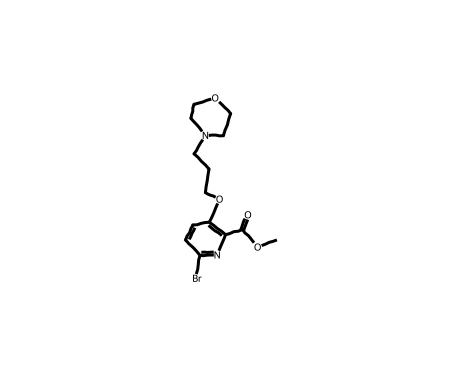 COC(=O)c1nc(Br)ccc1OCCCN1CCOCC1